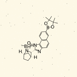 CB(O)N1[C@@H]2CC[C@@H](C2)[C@H]1c1nc2ccc3cc(B4OC(C)(C)C(C)(C)O4)ccc3c2[nH]1